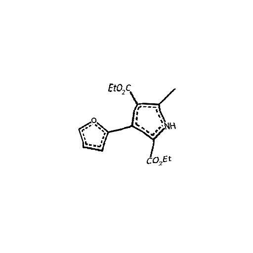 CCOC(=O)c1[nH]c(C)c(C(=O)OCC)c1-c1ccco1